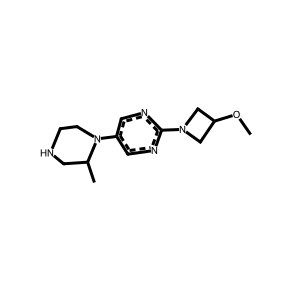 COC1CN(c2ncc(N3CCNCC3C)cn2)C1